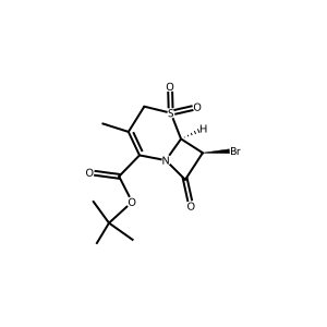 CC1=C(C(=O)OC(C)(C)C)N2C(=O)[C@H](Br)[C@@H]2S(=O)(=O)C1